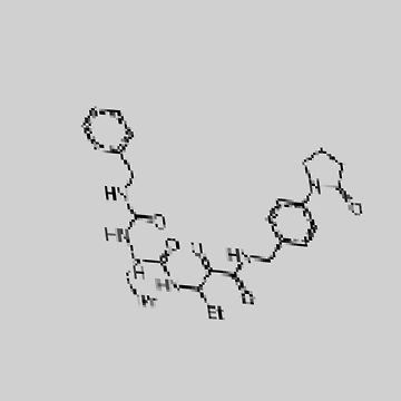 CCC(NC(=O)[Si@H](CC(C)C)NC(=O)NCc1ccccc1)C(=O)C(=O)NCc1ccc(N2CCCC2=O)cc1